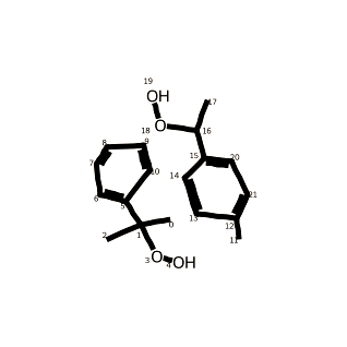 CC(C)(OO)c1ccccc1.Cc1ccc(C(C)OO)cc1